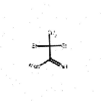 CCC(C)(CC)C(=N)NC